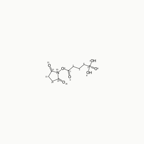 O=C(CCCP(=O)(O)O)ON1C(=O)CCC1=O